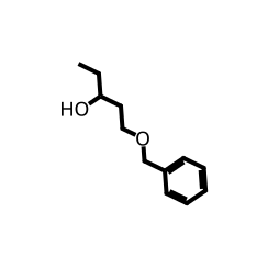 CCC(O)CCOCc1ccccc1